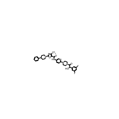 O=C(Nc1ccc(N2CCN(C(=O)C(O)c3cc(F)cc(F)c3)CC2)nc1)c1oc(N2CCC(c3ccccc3)CC2)nc1C(F)(F)F